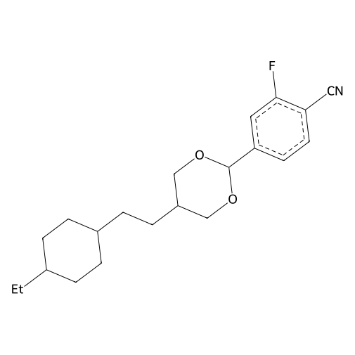 CCC1CCC(CCC2COC(c3ccc(C#N)c(F)c3)OC2)CC1